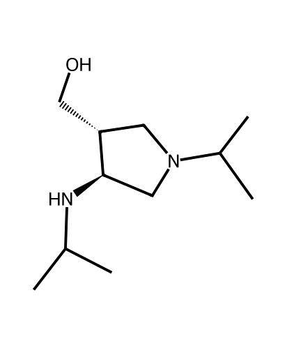 CC(C)N[C@@H]1CN(C(C)C)C[C@H]1CO